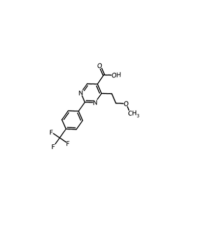 COCCc1nc(-c2ccc(C(F)(F)F)cc2)ncc1C(=O)O